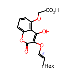 CCCCCC/C=C/Oc1c(O)c2c(OCC(=O)O)cccc2oc1=O